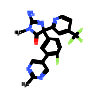 Cc1ncc(-c2cc(C3(c4cc(C(F)(F)F)ccn4)N=C(N)N(C)C3=O)ccc2F)cn1